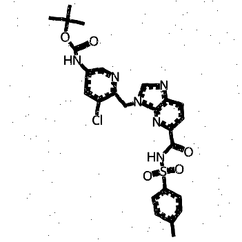 Cc1ccc(S(=O)(=O)NC(=O)c2ccc3ncn(Cc4ncc(NC(=O)OC(C)(C)C)cc4Cl)c3n2)cc1